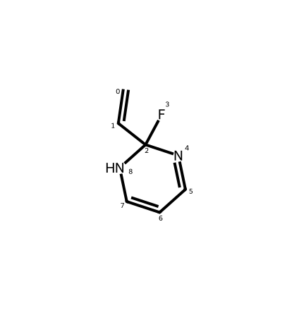 C=CC1(F)N=CC=CN1